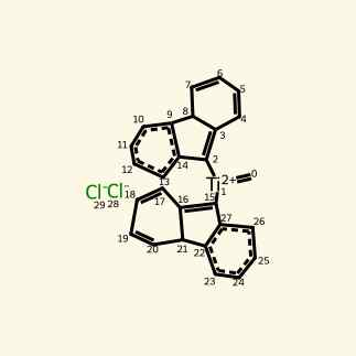 [CH2]=[Ti+2]([C]1=C2C=CC=CC2c2ccccc21)[C]1=C2C=CC=CC2c2ccccc21.[Cl-].[Cl-]